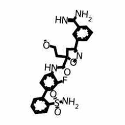 COCCC1(C(=O)Nc2ccc(-c3ccccc3S(N)(=O)=O)cc2F)CC(c2cccc(C(=N)N)c2)=NO1